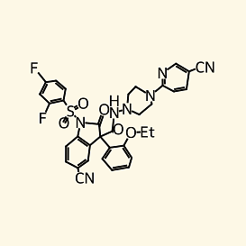 CCOc1ccccc1C1(C(=O)NN2CCN(c3ccc(C#N)cn3)CC2)C(=O)N(S(=O)(=O)c2ccc(F)cc2F)c2ccc(C#N)cc21